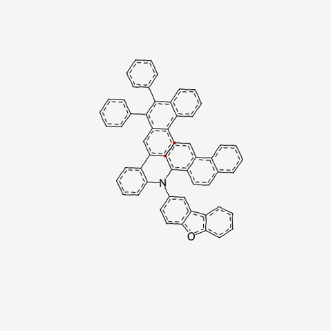 c1ccc(-c2c(-c3ccccc3)c3cc(-c4ccccc4N(c4ccc5oc6ccccc6c5c4)c4cccc5c4ccc4ccccc45)ccc3c3ccccc23)cc1